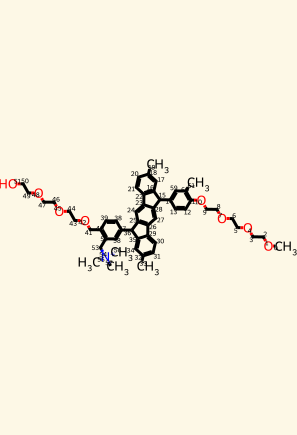 COCCOCCOCCOc1ccc(C2c3cc(C)ccc3-c3cc4c(cc32)-c2ccc(C)cc2C4c2ccc(COCCOCCOCCO)c(C[N+](C)(C)C)c2)cc1C